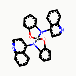 c1ccc2c(c1)O[Si]1(Oc3ccccc3N1c1ccnc3ccccc13)N2c1ccnc2ccccc12